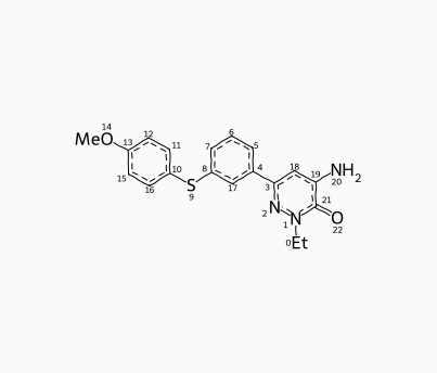 CCn1nc(-c2cccc(Sc3ccc(OC)cc3)c2)cc(N)c1=O